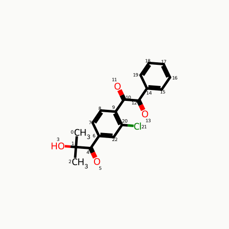 CC(C)(O)C(=O)c1ccc(C(=O)C(=O)c2ccccc2)c(Cl)c1